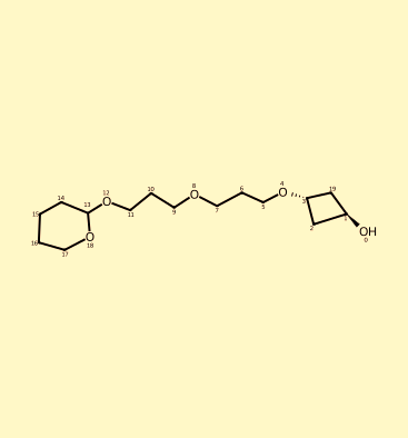 O[C@H]1C[C@H](OCCCOCCCOC2CCCCO2)C1